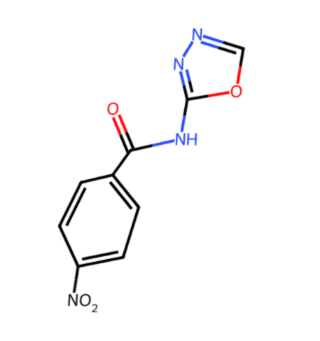 O=C(Nc1nnco1)c1ccc([N+](=O)[O-])cc1